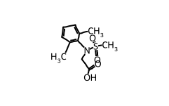 Cc1cccc(C)c1N(CC(=O)O)S(C)(=O)=O